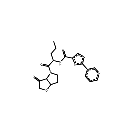 CCCC(NC(=O)c1csc(-c2cccnc2)n1)C(=O)N1CCC2OCC(=O)C21